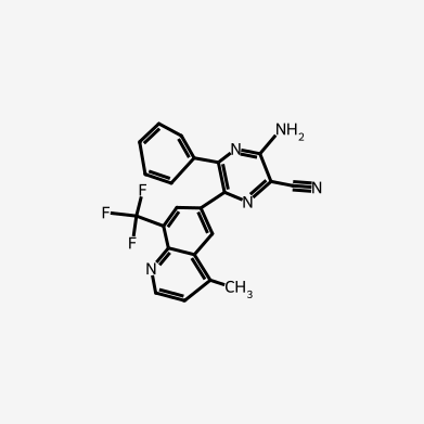 Cc1ccnc2c(C(F)(F)F)cc(-c3nc(C#N)c(N)nc3-c3ccccc3)cc12